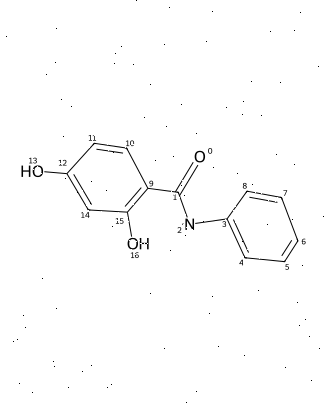 O=C([N]c1ccccc1)c1ccc(O)cc1O